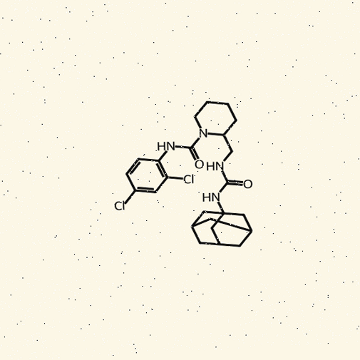 O=C(NCC1CCCCN1C(=O)Nc1ccc(Cl)cc1Cl)NC12CC3CC(CC(C3)C1)C2